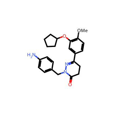 COc1ccc(C2=NN(Cc3ccc(N)cc3)C(=O)CC2)cc1OC1CCCC1